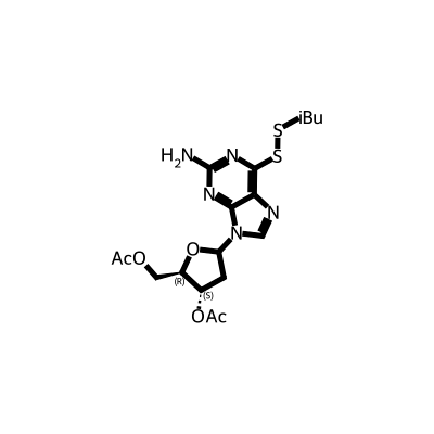 CCC(C)SSc1nc(N)nc2c1ncn2C1C[C@H](OC(C)=O)[C@@H](COC(C)=O)O1